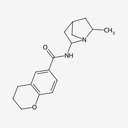 CC1CC2CC(NC(=O)c3ccc4c(c3)CCCO4)N1C2